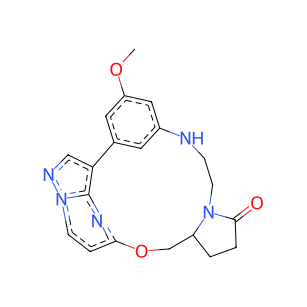 COc1cc2cc(c1)-c1cnn3ccc(nc13)OCC1CCC(=O)N1CCN2